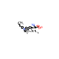 CCCCc1ccc(N2CCCc3c2ccc2c3C(C)(C)c3cc(/C=C(\C#N)C(=O)O)ccc3-2)cc1